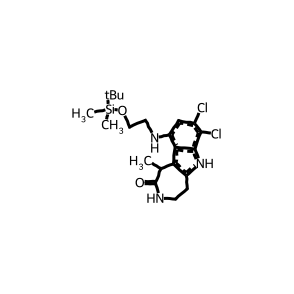 CC1C(=O)NCCc2[nH]c3c(Cl)c(Cl)cc(NCCO[Si](C)(C)C(C)(C)C)c3c21